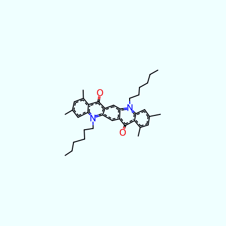 CCCCCCn1c2cc3c(=O)c4c(C)cc(C)cc4n(CCCCCC)c3cc2c(=O)c2c(C)cc(C)cc21